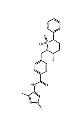 Cc1nn(C)cc1NC(=O)c1ccc(CN2[C@@H](C)CCC(c3ccccc3)S2(=O)=O)cc1